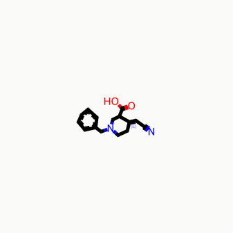 N#C/C=C1\CCN(Cc2ccccc2)CC1C(=O)O